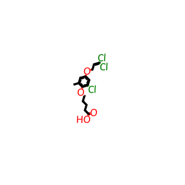 Cc1cc(OCC=C(Cl)Cl)cc(Cl)c1OCCCCC(=O)O